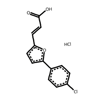 Cl.O=C(O)C=Cc1ccc(-c2ccc(Cl)cc2)o1